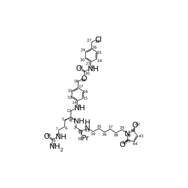 CC(C)[C@@H](CN[C@@H](CCCNC(N)=O)CNc1ccc(COC(=O)Nc2ccc(CCl)cc2)cc1)NCCCCCCN1C(=O)C=CC1=O